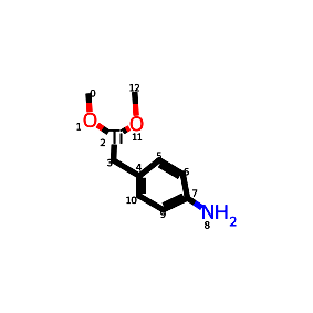 C[O][Ti]([CH2]c1ccc(N)cc1)[O]C